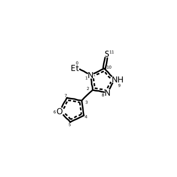 CCn1c(-c2ccoc2)n[nH]c1=S